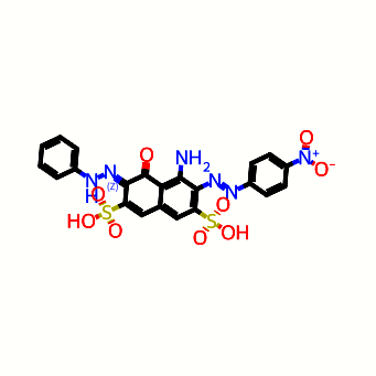 Nc1c(N=Nc2ccc([N+](=O)[O-])cc2)c(S(=O)(=O)O)cc2c1C(=O)/C(=N/Nc1ccccc1)C(S(=O)(=O)O)=C2